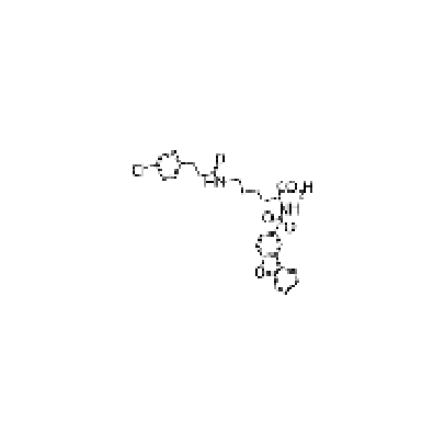 O=C(CCc1ccc(Cl)cc1)NCCCCC(NS(=O)(=O)c1ccc2oc3ccccc3c2c1)C(=O)O